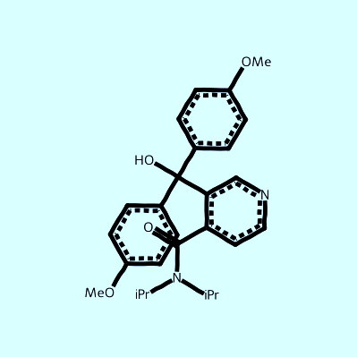 COc1ccc(C(O)(c2ccc(OC)cc2)c2cnccc2C(=O)N(C(C)C)C(C)C)cc1